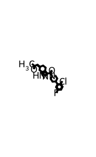 CC(=O)/C=C1/CCc2c(C(=O)N3CCC(c4cc(F)ccc4Cl)CC3)n[nH]c2C1